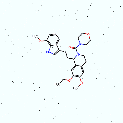 CCOc1cc2c(cc1OC)CCN(C(=O)N1CCOCC1)C2CCc1c[nH]c2c(OC)cccc12